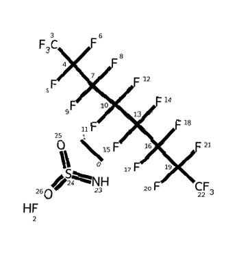 CC.F.FC(F)(F)C(F)(F)C(F)(F)C(F)(F)C(F)(F)C(F)(F)C(F)(F)C(F)(F)F.N=S(=O)=O